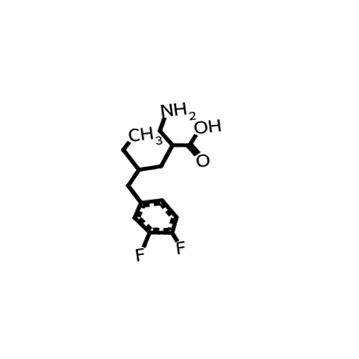 CCC(Cc1ccc(F)c(F)c1)CC(CN)C(=O)O